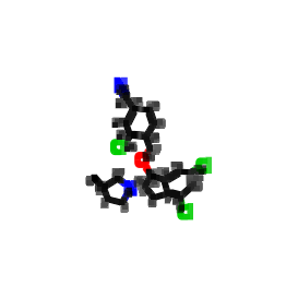 C[C@@H]1CCN([C@H]2Cc3c(Cl)cc(Cl)cc3[C@@H]2OCc2ccc(C#N)cc2Cl)C1